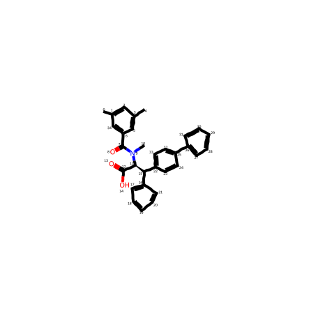 Cc1cc(C)cc(C(=O)N(C)[C@H](C(=O)O)C(c2ccccc2)c2ccc(-c3ccccc3)cc2)c1